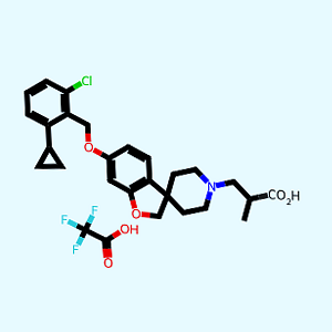 CC(CN1CCC2(CC1)COc1cc(OCc3c(Cl)cccc3C3CC3)ccc12)C(=O)O.O=C(O)C(F)(F)F